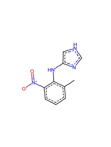 Cc1cccc([N+](=O)[O-])c1Nc1c[nH]cn1